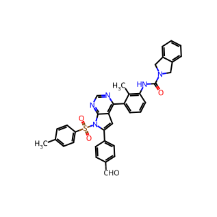 Cc1ccc(S(=O)(=O)n2c(-c3ccc(C=O)cc3)cc3c(-c4cccc(NC(=O)N5Cc6ccccc6C5)c4C)ncnc32)cc1